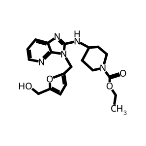 CCOC(=O)N1CCC(Nc2nc3cccnc3n2Cc2ccc(CO)o2)CC1